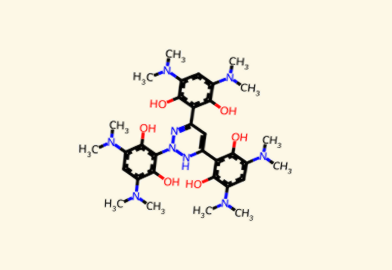 CN(C)c1cc(N(C)C)c(O)c(C2=CC(c3c(O)c(N(C)C)cc(N(C)C)c3O)=NN(c3c(O)c(N(C)C)cc(N(C)C)c3O)N2)c1O